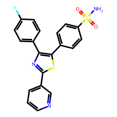 NS(=O)(=O)c1ccc(-c2sc(-c3cccnc3)nc2-c2ccc(F)cc2)cc1